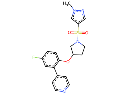 Cn1cc(S(=O)(=O)N2CCC(Oc3ccc(F)cc3-c3ccncc3)C2)cn1